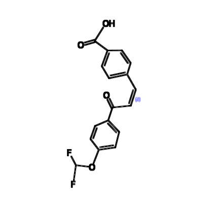 O=C(O)c1ccc(/C=C\C(=O)c2ccc(OC(F)F)cc2)cc1